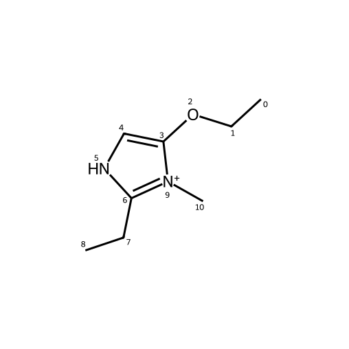 CCOc1c[nH]c(CC)[n+]1C